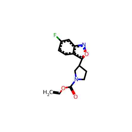 C=COC(=O)N1CCC(c2onc3cc(F)ccc23)C1